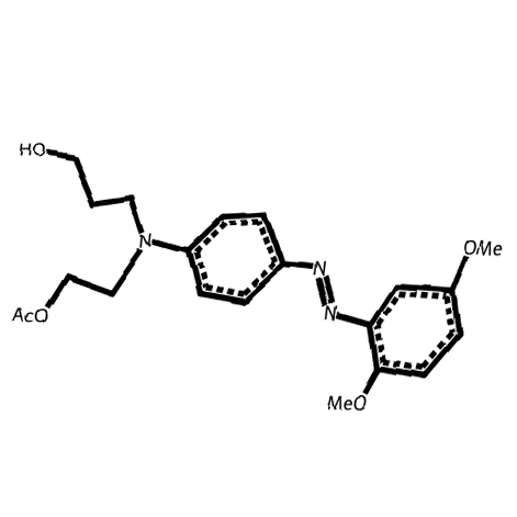 COc1ccc(OC)c(N=Nc2ccc(N(CCCO)CCOC(C)=O)cc2)c1